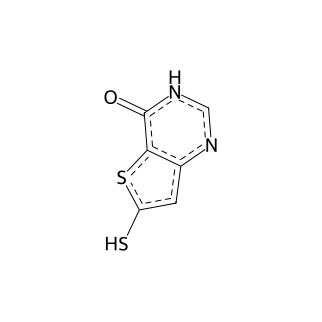 O=c1[nH]cnc2cc(S)sc12